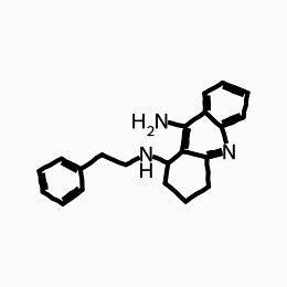 Nc1c2c(nc3ccccc13)CCCC2NCCc1ccccc1